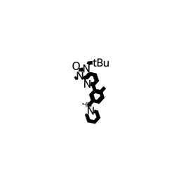 Cc1ccc([C@@H](C)N2CCCCC2)cc1-c1ccc2c(n1)n(C)c(=O)n2CC(C)(C)C